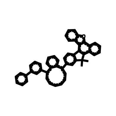 CC1(C)c2cc(-c3ccccccc(-c4cccc(-c5ccccc5)c4)c4ccccc34)ccc2-c2c1c1ccccc1c1oc3ccccc3c21